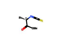 CC[C@H](N=C=S)C(=O)OC